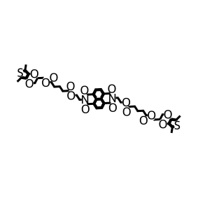 Cc1sc(C)c2c1OCC(COC(=O)CCCC(=O)OCCN1C(=O)c3ccc4c5c(ccc(c35)C1=O)C(=O)N(CCOC(=O)CCCC(=O)OCC1COc3c(C)sc(C)c3O1)C4=O)O2